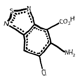 Nc1c(Cl)cc2nsnc2c1C(=O)O